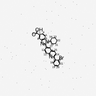 O=C(O)c1ccc2c(c1)nc(-c1ccc3nc(-c4ccccc4Br)ccc3c1)n2C1CCCCC1